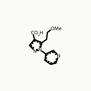 COCCc1c(C(=O)O)cnn1-c1cccnc1